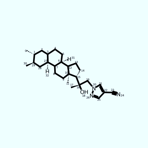 C[C@@H]1CC2CC[C@@H]3C(CC[C@@]4(C)C3CC[C@@H]4[C@@](C)(O)Cn3cc(C#N)cn3)[C@H]2C[C@H]1C